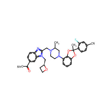 COC(=O)c1ccc2nc(CN3CCN(c4cccc5c4OC(C)(c4ccc(C#N)cc4F)O5)CC3C)n(C[C@@H]3CCO3)c2c1